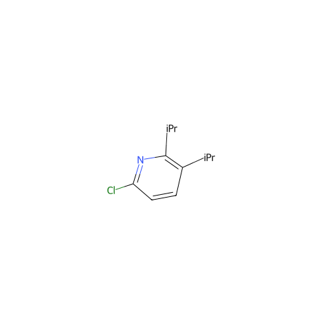 CC(C)c1ccc(Cl)nc1C(C)C